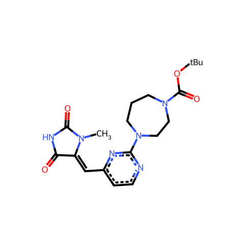 CN1C(=O)NC(=O)C1=Cc1ccnc(N2CCCN(C(=O)OC(C)(C)C)CC2)n1